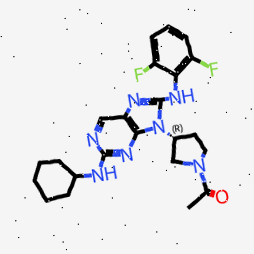 CC(=O)N1CC[C@@H](n2c(Nc3c(F)cccc3F)nc3cnc(NC4CCCCC4)nc32)C1